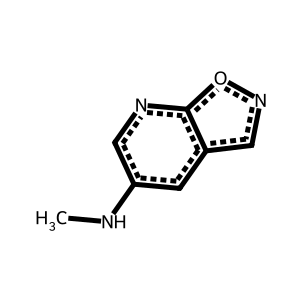 CNc1cnc2oncc2c1